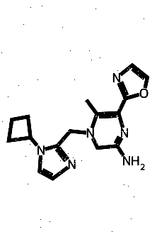 CC1=C(c2ncco2)N=C(N)CN1Cc1nccn1C1CCC1